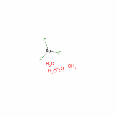 O.O.O.O.[F][Ru]([F])[F]